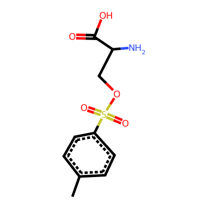 Cc1ccc(S(=O)(=O)OCC(N)C(=O)O)cc1